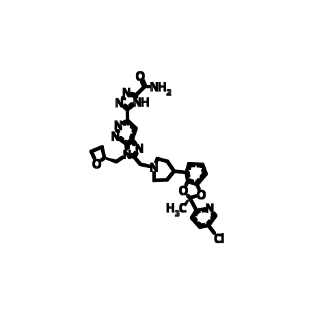 C[C@@]1(c2ccc(Cl)cn2)Oc2cccc(C3CCN(Cc4nc5cc(-c6nnc(C(N)=O)[nH]6)nnc5n4C[C@@H]4CCO4)CC3)c2O1